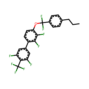 CCCc1ccc(C(F)(F)Oc2ccc(-c3cc(F)c(C(F)(F)F)c(F)c3)c(F)c2F)cc1